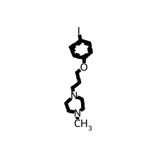 CN1CCN(CCCOc2ccc(I)cc2)CC1